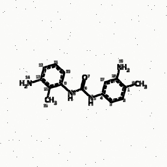 Cc1ccc(NC(=O)Nc2cccc(N)c2C)cc1N